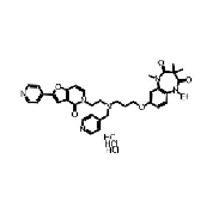 CCN1C(=O)C(C)(C)C(=O)N(C)c2cc(OCCCN(CCn3ccc4oc(-c5ccncc5)cc4c3=O)Cc3ccncc3)ccc21.Cl.Cl.Cl